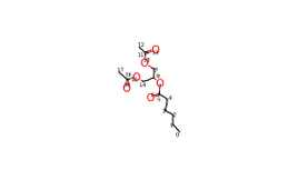 CCCCCC(=O)OC(COC(C)=O)COC(C)=O